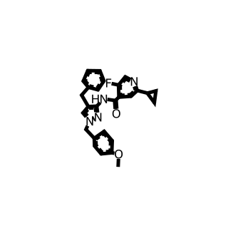 COc1ccc(Cn2cc(Cc3ccccc3)c(NC(=O)c3cc(C4CC4)ncc3F)n2)cc1